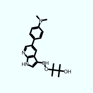 CN(C)c1ccc(-c2cnc3[nH]cc(BOC(C)(C)C(C)(C)O)c3c2)cc1